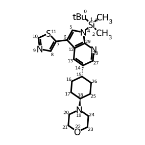 CC(C)(C)[Si](C)(C)n1cc(-c2cncs2)c2cc([C@H]3CC[C@H](N4CCOCC4)CC3)cnc21